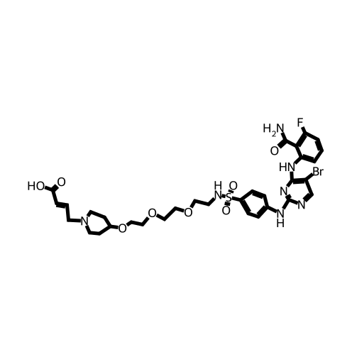 NC(=O)c1c(F)cccc1Nc1nc(Nc2ccc(S(=O)(=O)NCCOCCOCCOC3CCN(C/C=C/C(=O)O)CC3)cc2)ncc1Br